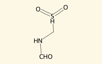 O=CNC[SH](=O)=O